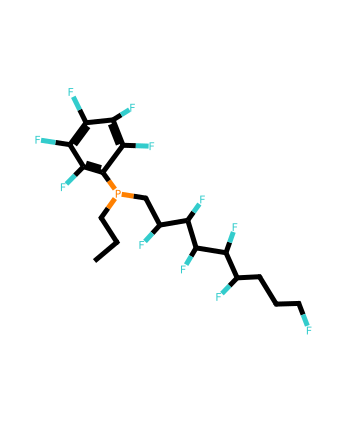 CCCP(CC(F)C(F)C(F)C(F)C(F)CCCF)c1c(F)c(F)c(F)c(F)c1F